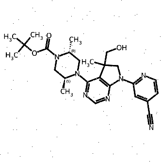 C[C@@H]1CN(c2ncnc3c2C(C)(CO)CN3c2cc(C#N)ccn2)[C@@H](C)CN1C(=O)OC(C)(C)C